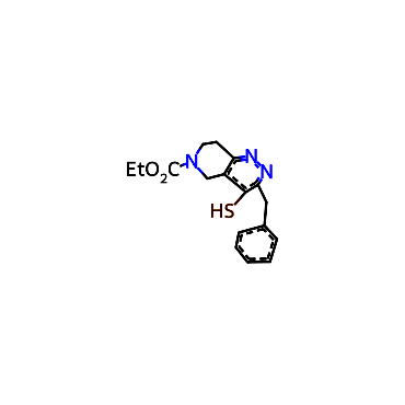 CCOC(=O)N1CCc2nnc(Cc3ccccc3)c(S)c2C1